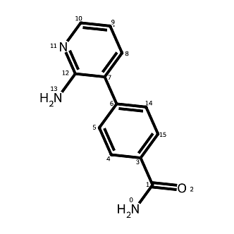 NC(=O)c1ccc(-c2c[c]cnc2N)cc1